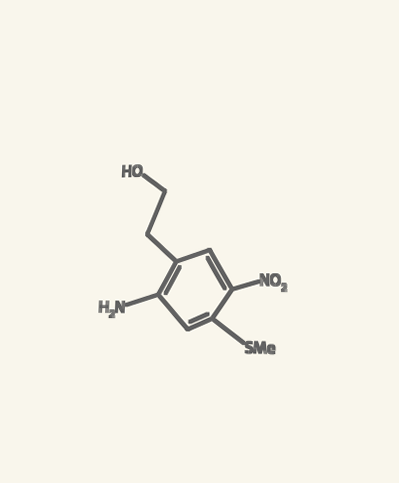 CSc1cc(N)c(CCO)cc1[N+](=O)[O-]